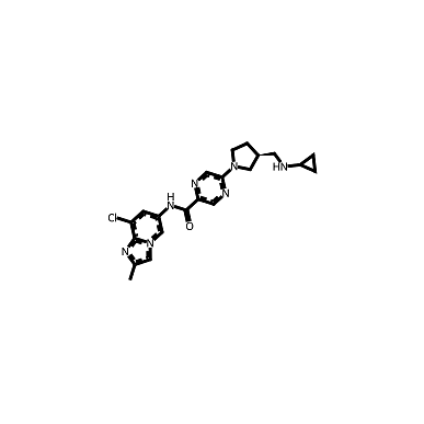 Cc1cn2cc(NC(=O)c3cnc(N4CC[C@@H](CNC5CC5)C4)cn3)cc(Cl)c2n1